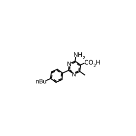 CCCCc1ccc(-c2nc(C)c(C(=O)O)c(N)n2)cc1